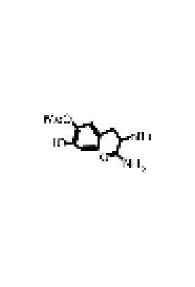 CCCCC(Cc1ccc(O)c(OC)c1)C(N)=O